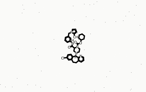 Cc1cccn1Cc1cccc(NC(=O)C2CN([C@@H]3c4ccc(Cl)cc4CCc4cccnc43)CCN2C(=O)OC2CCCCC2)c1